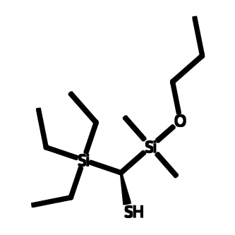 CCCO[Si](C)(C)[C@@H](S)[Si](CC)(CC)CC